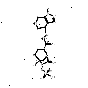 Cn1ncc2c1CNCC2ONC(=O)[C@@H]1CC[C@@H]2CN1C(=O)N2OS(=O)(=O)O